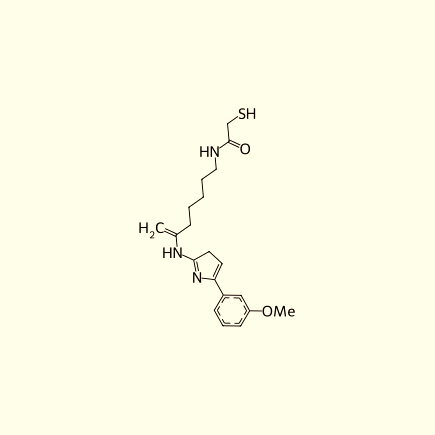 C=C(CCCCCNC(=O)CS)NC1=NC(c2cccc(OC)c2)=CC1